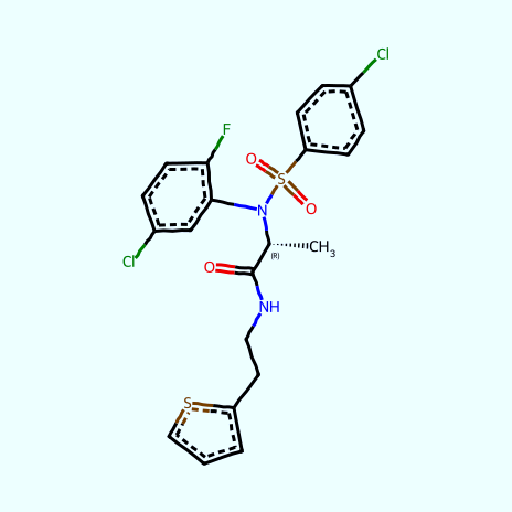 C[C@H](C(=O)NCCc1cccs1)N(c1cc(Cl)ccc1F)S(=O)(=O)c1ccc(Cl)cc1